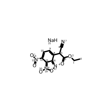 CCOC(=O)C(C#N)c1ccc([N+](=O)[O-])c2c1no[n+]2[O-].[NaH]